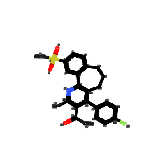 CNS(=O)(=O)c1ccc2c(c1)-c1nc(C(C)C)c(C(=O)OC)c(-c3ccc(F)cc3)c1CCC2